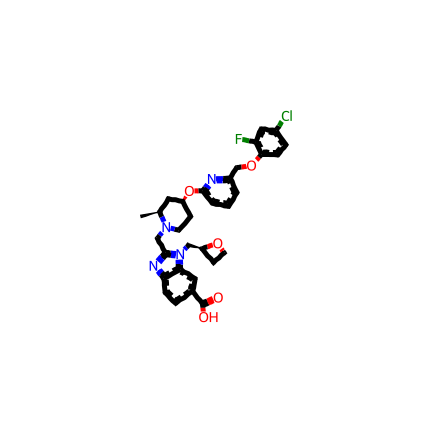 C[C@H]1C[C@@H](Oc2cccc(COc3ccc(Cl)cc3F)n2)CCN1Cc1nc2ccc(C(=O)O)cc2n1C[C@@H]1CCO1